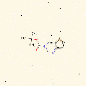 CC(C)(C)OC(=O)N1C=c2sccc2=NC1